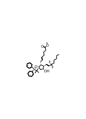 CCCCCC(F)(F)C=C[C@@H]1[C@@H](CC=CCCCC(=O)OC)[C@@H](O[Si](c2ccccc2)(c2ccccc2)C(C)(C)C)C[C@H]1O